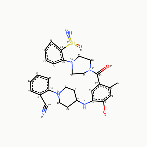 Cc1cc(O)c(NC2CCN(c3ccccc3C#N)CC2)cc1C(=O)N1CCN(c2ccccc2[SH](=N)=O)CC1